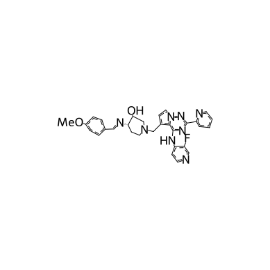 COc1ccc(/C=N/[C@H]2CCN(Cc3ccn4nc(-c5ccccn5)nc(Nc5ccncc5F)c34)CC2O)cc1